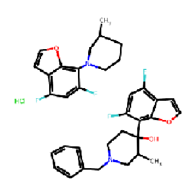 CC1CCCN(c2c(F)cc(F)c3ccoc23)C1.CC1CN(Cc2ccccc2)CCC1(O)c1c(F)cc(F)c2ccoc12.Cl